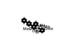 COc1ccc(Br)c(C(=O)N(C)c2cccc3c(-c4ccc(-c5ccccc5)cc4)c(OC)c(OC)cc23)c1OC